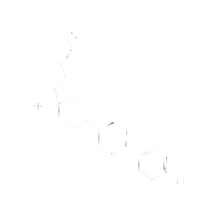 CCCc1ccc([C@H]2CC[C@H]([C@H]3CC[C@](C=O)(CCC=CC#N)CC3)CC2)cc1